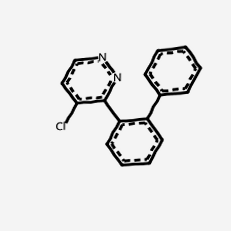 Clc1ccnnc1-c1ccccc1-c1ccccc1